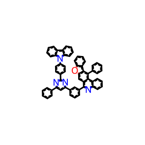 c1ccc(-c2cc(-c3cccc(-c4nc5ccccc5c5c(-c6ccccc6)c6c(cc45)oc4ccccc46)c3)nc(-c3ccc(-n4c5ccccc5c5ccccc54)cc3)n2)cc1